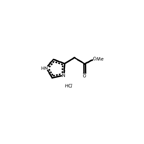 COC(=O)Cc1c[nH]cn1.Cl